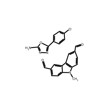 Cn1c2ccc(C=O)cc2c2cc(C=O)ccc21.Nc1nnc(-c2ccc(Cl)cc2)o1